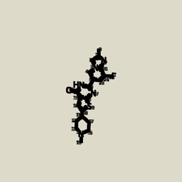 Cc1cn2cc(-c3nc4sc(C5CCN(C)CC5)cc4c(=O)[nH]3)cc(F)c2n1